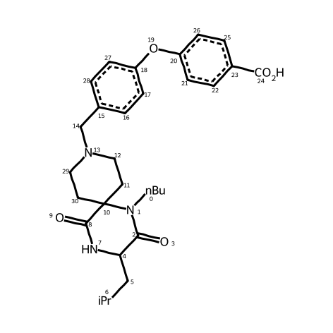 CCCCN1C(=O)C(CC(C)C)NC(=O)C12CCN(Cc1ccc(Oc3ccc(C(=O)O)cc3)cc1)CC2